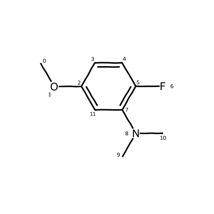 COc1ccc(F)c(N(C)C)c1